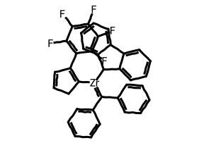 Fc1c(F)c(F)c(C2=[C]([Zr](=[C](c3ccccc3)c3ccccc3)[CH]3c4ccccc4-c4ccccc43)CC=C2)c(F)c1F